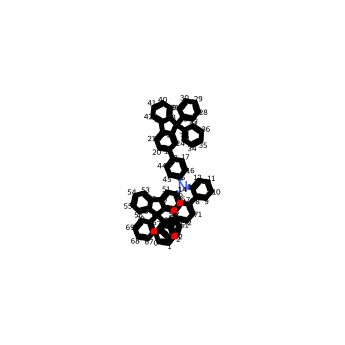 c1ccc(-c2ccc(-c3ccccc3N(c3ccc(-c4ccc5c(c4)C(c4ccccc4)(c4ccccc4)c4ccccc4-5)cc3)c3ccc4c(c3)-c3ccccc3C4(c3ccccc3)c3ccccc3)cc2)cc1